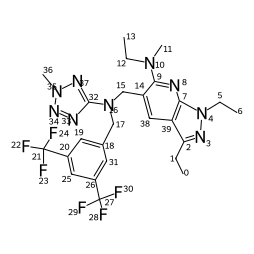 CCc1nn(CC)c2nc(N(C)CC)c(CN(Cc3cc(C(F)(F)F)cc(C(F)(F)F)c3)c3nnn(C)n3)cc12